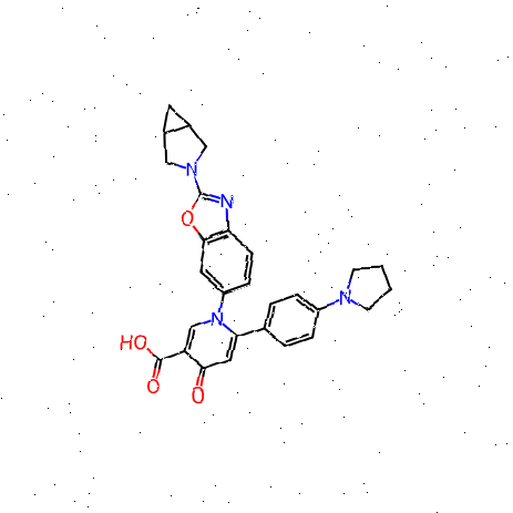 O=C(O)c1cn(-c2ccc3nc(N4CC5CC5C4)oc3c2)c(-c2ccc(N3CCCC3)cc2)cc1=O